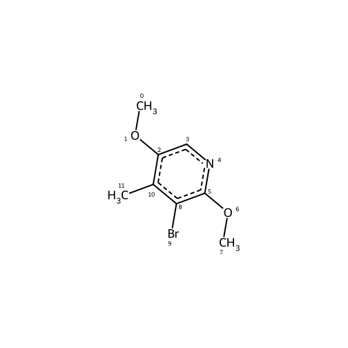 COc1cnc(OC)c(Br)c1C